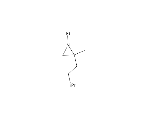 CCN1CC1(C)CCC(C)C